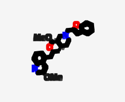 COC(=O)[C@H]1CN(Cc2cc3ccccc3o2)CC[C@@H]1CCCc1cccc2ncc(OC)cc12